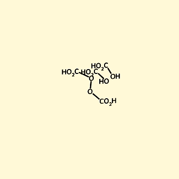 O=C(O)O.O=C(O)O.O=C(O)OOC(=O)O